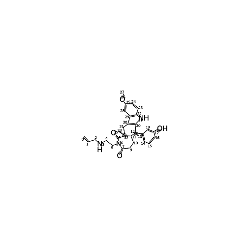 C=CCNCCN1C(=O)CCC2[C@H](c3cccc(O)c3)c3[nH]c4ccc(OC)cc4c3C[C@@]2(C)C1=O